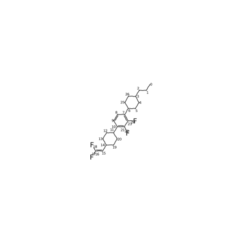 CCCC1CCC(c2ccc(C3CCC(C=C(F)F)CC3)c(F)c2F)CC1